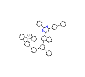 CC1(c2ccccc2)c2ccccc2-c2ccc(-c3cccc(-c4cc(-c5ccccc5)cc(-c5ccc(-c6cc(-c7ccc(-c8ccccc8)cc7)nc(-c7ccccc7)n6)c6ccccc56)c4)c3)cc21